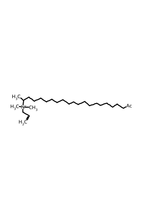 C=CC[N+](C)(C)C(C)CCCCCCCCCCCCCCCCCCC(C)=O